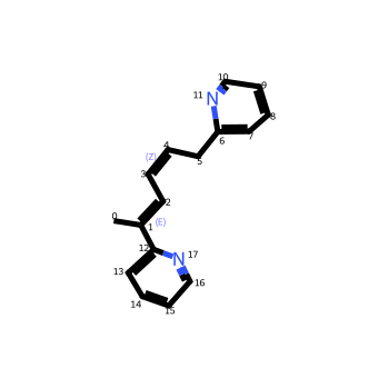 C/C(=C\C=C/Cc1ccccn1)c1ccccn1